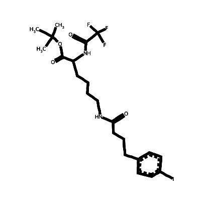 CC(C)(C)OC(=O)C(CCCCNC(=O)CCCc1ccc(I)cc1)NC(=O)C(F)(F)F